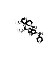 NC(=O)N1C[C@@H]2C[C@@H](NC3CCOCC3)C[C@]2(C(=O)N2CCc3ncc(C(F)(F)F)cc3C2)C1